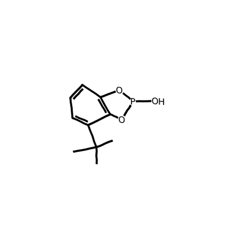 CC(C)(C)c1cccc2c1OP(O)O2